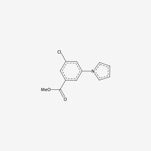 COC(=O)c1cc(Cl)cc(-n2cccc2)c1